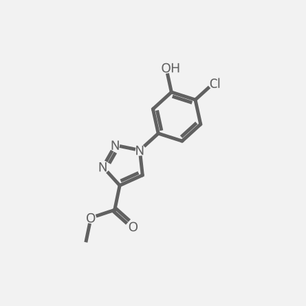 COC(=O)c1cn(-c2ccc(Cl)c(O)c2)nn1